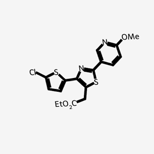 CCOC(=O)Cc1sc(-c2ccc(OC)nc2)nc1-c1ccc(Cl)s1